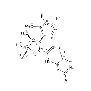 COc1c([C@H]2[C@H](C(=O)Nc3cc(Br)ncc3C)O[C@@](C)(C(F)(F)F)[C@H]2C)ccc(F)c1F